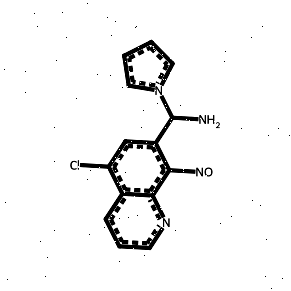 NC(c1cc(Cl)c2cccnc2c1N=O)n1cccc1